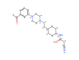 CC(=O)c1cccc(N2CCN(CCC3CCC(NC(=O)CC#N)CC3)CC2)c1